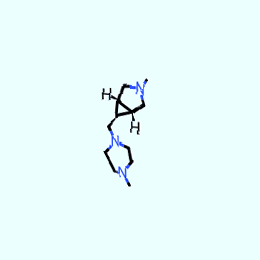 CN1CCN(C[C@H]2[C@@H]3CN(C)C[C@@H]32)CC1